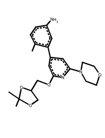 Cc1ccc(N)cc1-c1cc(OCC2COC(C)(C)O2)nc(N2CCOCC2)c1